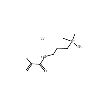 C=C(C)C(=O)NCCC[N+](C)(C)CCCC.[Cl-]